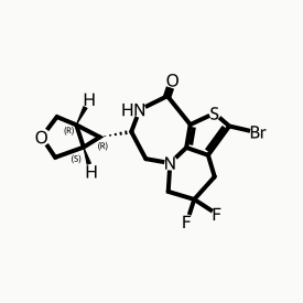 O=C1NC([C@@H]2[C@@H]3COC[C@@H]32)CN2CC(F)(F)Cc3c(Br)sc1c32